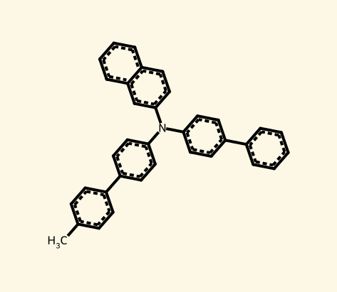 Cc1ccc(-c2ccc(N(c3ccc(-c4ccccc4)cc3)c3ccc4ccccc4c3)cc2)cc1